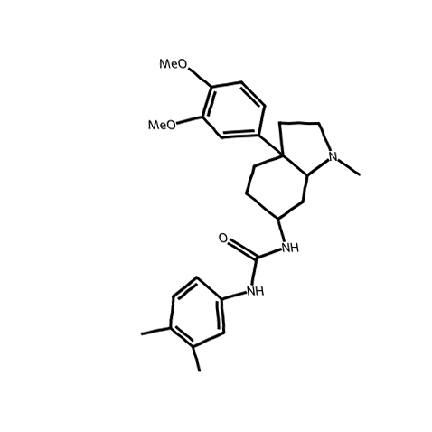 COc1ccc(C23CCC(NC(=O)Nc4ccc(C)c(C)c4)CC2N(C)CC3)cc1OC